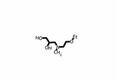 CCOCCN(C)CC(O)CO